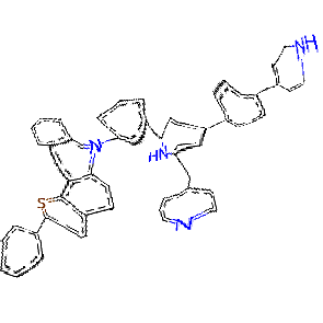 C1=CC(c2ccc(C3=CC(c4cccc(-n5c6ccccc6c6c7sc(-c8ccccc8)cc7ccc65)c4)NC(c4ccncc4)=C3)cc2)=CCN1